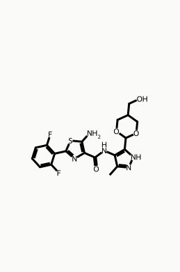 Cc1n[nH]c(C2OCC(CO)CO2)c1NC(=O)c1nc(-c2c(F)cccc2F)sc1N